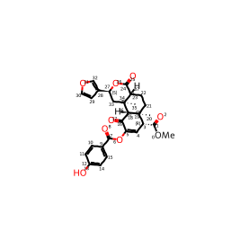 COC(=O)[C@@H]1C=C(OC(=O)c2ccc(O)cc2)C(=O)[C@H]2[C@@]1(C)CC[C@H]1C(=O)O[C@H](c3ccoc3)C[C@]21C